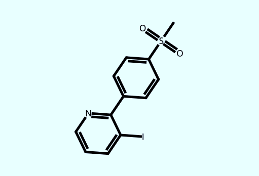 CS(=O)(=O)c1ccc(-c2ncccc2I)cc1